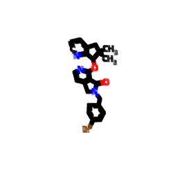 CC1(C)Cc2cccnc2C1Oc1nccc2c1C(=O)N(Cc1ccc(Br)cc1)C2